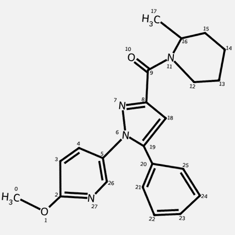 COc1ccc(-n2nc(C(=O)N3CCCCC3C)cc2-c2ccccc2)cn1